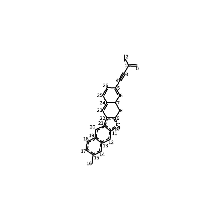 C=C(I)C#CC1=CC2Cc3sc4cc5cc(C)ccc5cc4c3C=C2C=C1